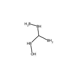 BBC(B)BO